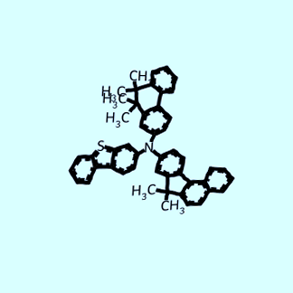 CC1(C)c2cc(N(c3ccc4c(c3)C(C)(C)C(C)(C)c3ccccc3-4)c3ccc4c(c3)sc3ccccc34)ccc2-c2c1ccc1ccccc21